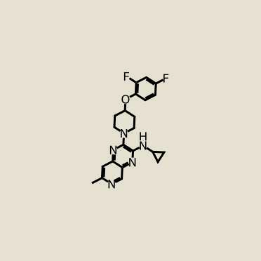 Cc1cc2nc(N3CCC(Oc4ccc(F)cc4F)CC3)c(NC3CC3)nc2cn1